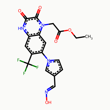 CCOC(=O)Cn1c(=O)c(=O)[nH]c2cc(C(F)(F)F)c(-n3ccc(C=NO)c3)cc21